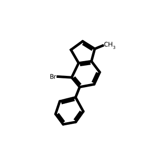 CC1=CCc2c1ccc(-c1ccccc1)c2Br